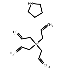 C1CCNC1.C=CC[N+](CC=C)(CC=C)CC=C